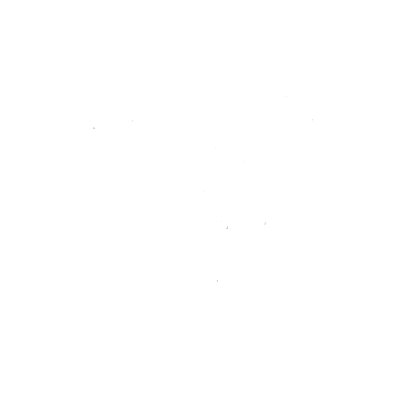 C=Cc1ccccc1.CCCCC(=C1CC1)c1ccccc1